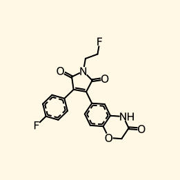 O=C1COc2ccc(C3=C(c4ccc(F)cc4)C(=O)N(CCF)C3=O)cc2N1